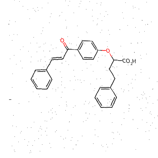 O=C(C=Cc1ccccc1)c1ccc(OC(CCc2ccccc2)C(=O)O)cc1